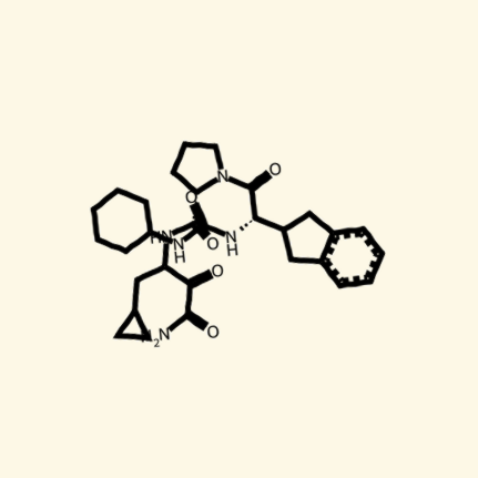 NC(=O)C(=O)C(CC1CC1)NC(=O)[C@@H]1CCCN1C(=O)[C@@H](NC(=O)NC1CCCCC1)C1Cc2ccccc2C1